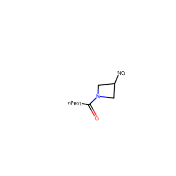 CCCCCC(=O)N1CC(N=O)C1